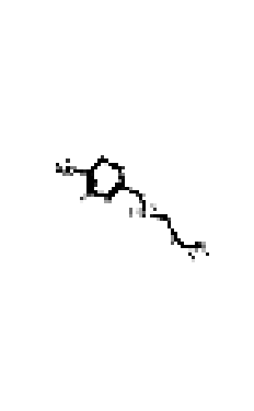 CC(=O)c1ccc(CNCCN)cc1